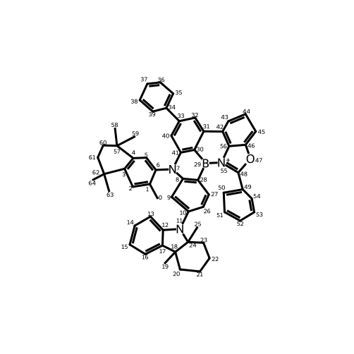 Cc1cc2c(cc1N1c3cc(N4c5ccccc5C5(C)CCCCC45C)ccc3B3c4c(cc(-c5ccccc5)cc41)-c1cccc4oc(-c5ccccc5)[n+]3c14)C(C)(C)CCC2(C)C